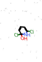 OC1(Cl)C=CC=C(Cl)N1